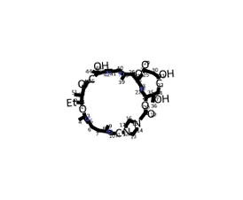 CCC1O/C(C)=C\CC/C(C)=C/CN2CCN(CC2)C(=O)OC2/C=C/C(C)C(OC(=O)CC(O)CCC2(C)O)/C(C)=C/C=C/C(C)(O)CC2OC2C1C